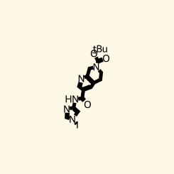 CC(C)(C)OC(=O)N1CCc2cc(C(=O)Nc3cn(I)cn3)cnc2C1